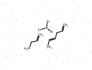 C=CCC=CC.C=C[CH2][AlH2].C[CH2][Al]([CH2]C)[CH2]C